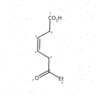 CCC(=O)C/C=C\CC(=O)O